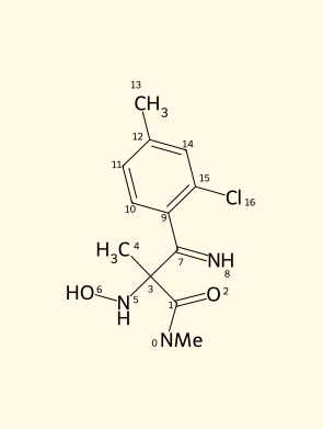 CNC(=O)C(C)(NO)C(=N)c1ccc(C)cc1Cl